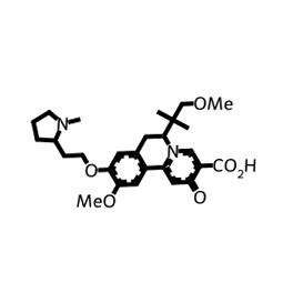 COCC(C)(C)C1Cc2cc(OCCC3CCCN3C)c(OC)cc2-c2cc(=O)c(C(=O)O)cn21